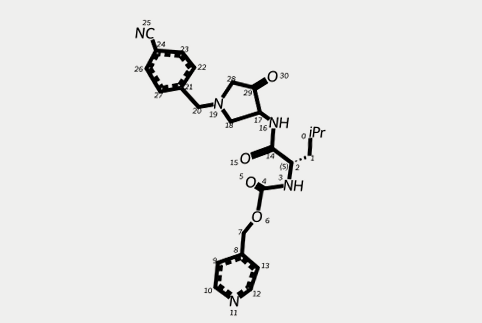 CC(C)C[C@H](NC(=O)OCc1ccncc1)C(=O)NC1CN(Cc2ccc(C#N)cc2)CC1=O